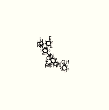 Cn1cnnc1-c1cc(F)ccc1-c1cccc(-c2nc3cc(CN[C@@H]4CCCC[C@@H]4O)cc(C(F)(F)F)c3o2)c1